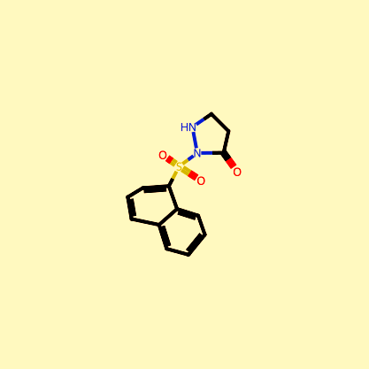 O=C1CCNN1S(=O)(=O)c1cccc2ccccc12